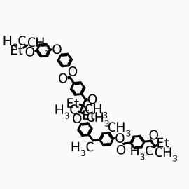 CCC(C)(C)Oc1ccc(Oc2ccc(OC(=O)c3ccc(C(=O)C(C)(CC)C(C)(CC)Oc4ccc(C(C)c5ccc(OC(=O)c6ccc(C(=O)C(C)(C)CC)cc6)c(C)c5)cc4C)cc3)cc2)cc1